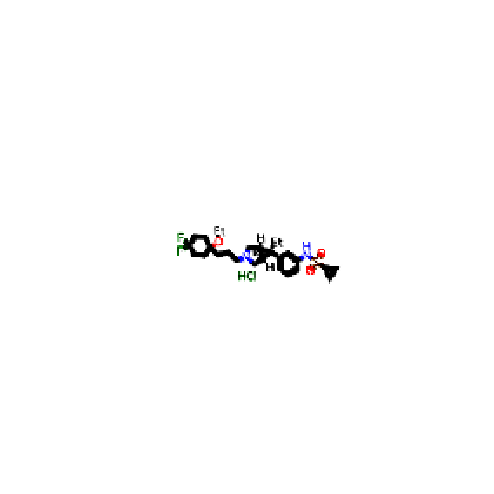 CCOC1(CCCN2C[C@@H]3[C@H](C2)[C@@]3(CC)c2cccc(NS(=O)(=O)C3CC3)c2)CCC(F)(F)CC1.Cl